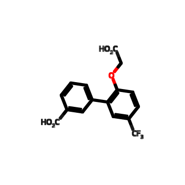 O=C(O)COc1ccc(C(F)(F)F)cc1-c1cccc(C(=O)O)c1